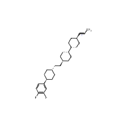 C/C=C/[C@H]1CC[C@H]([C@H]2CC[C@H](CC[C@H]3CC[C@H](c4ccc(F)c(F)c4)CC3)CC2)CC1